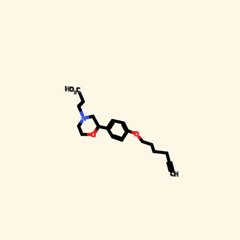 C#CCCCCOc1ccc(C2CN(CCC(=O)O)CCO2)cc1